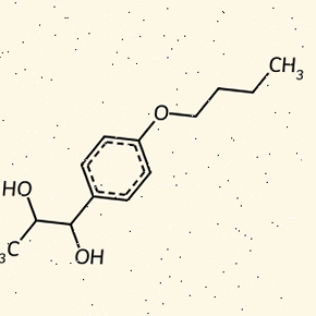 CCCCOc1ccc(C(O)C(C)O)cc1